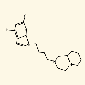 Clc1cc(Cl)c2ccn(CCCCN3CCN4CCCCC4C3)c2c1